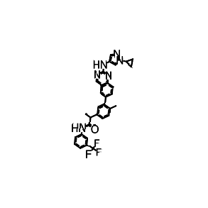 Cc1ccc(C(C)C(=O)Nc2cccc(C(F)(F)F)c2)cc1-c1ccc2nc(Nc3cnn(C4CC4)c3)ncc2c1